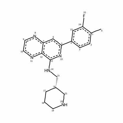 Cc1ccc(-c2cc3nccnc3c(NC[C@H]3CCCNC3)n2)cc1F